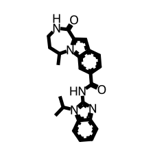 CC(C)n1c(NC(=O)c2ccc3cc4n(c3c2)C(C)CCNC4=O)nc2ccccc21